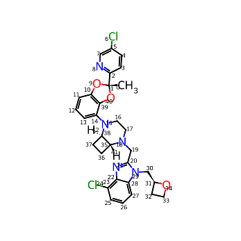 C[C@]1(c2ccc(Cl)cn2)Oc2cccc(N3CCN(Cc4nc5c(Cl)cccc5n4C[C@@H]4CCO4)[C@@H]4CC[C@H]43)c2O1